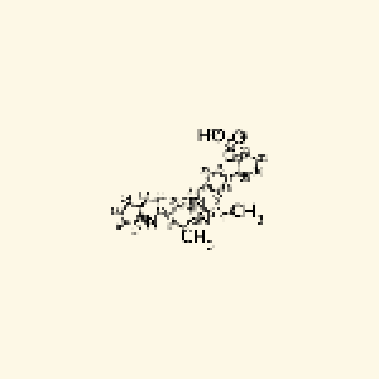 CCCc1nc2c(C)cc(-c3ccc4ccccc4n3)cc2n1Cc1ccc(-c2ccccc2OC(=O)O)cc1